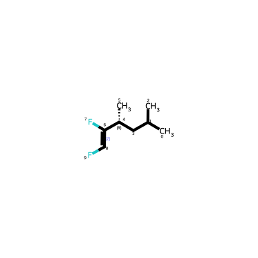 CC(C)C[C@@H](C)/C(F)=C/F